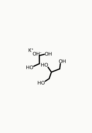 OCC(O)CO.OCCO.[K+].[OH-]